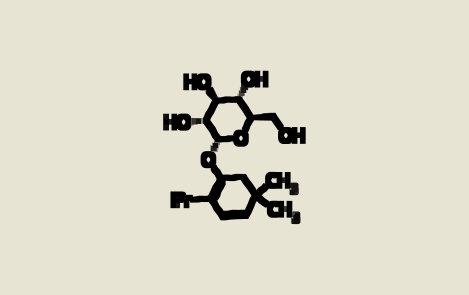 CC(C)C1=C(O[C@H]2O[C@H](CO)[C@@H](O)[C@H](O)[C@H]2O)CC(C)(C)C=C1